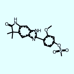 COc1cc(OS(C)(=O)=O)ccc1-c1nc2cc3c(cc2[nH]1)NC(=O)C3(C)C